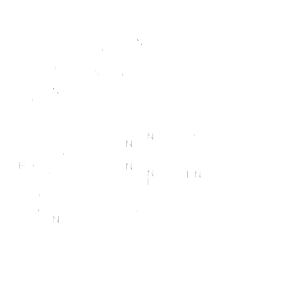 COc1cc([N+](=O)[O-])c(S(=O)(=O)[O-])cc1N1N=C(C(=O)Nc2ccccc2)NN1c1cc(S(=O)(=O)O)c([N+](=O)[O-])cc1OC.[Na+]